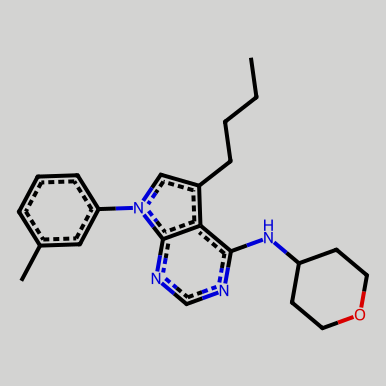 CCCCc1cn(-c2cccc(C)c2)c2ncnc(NC3CCOCC3)c12